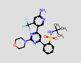 CC(C)(C)NS(=O)(=O)c1ccccc1-c1cc(-c2cnc(N)cc2C(F)(F)F)nc(N2CCOCC2)n1